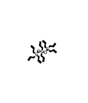 C=CC[Si](CC=C)(CC=C)O[Si](CC=C)(CC=C)O[Si](CC=C)(CC=C)CC=C